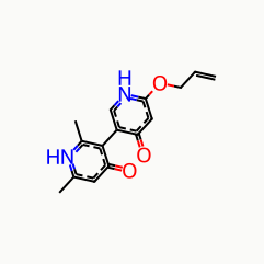 C=CCOc1cc(=O)c(-c2c(C)[nH]c(C)cc2=O)c[nH]1